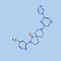 O=C1N(c2cc(C(F)(F)F)ccn2)CCC12CCN(c1cncc(-n3ccnc3)n1)CC2